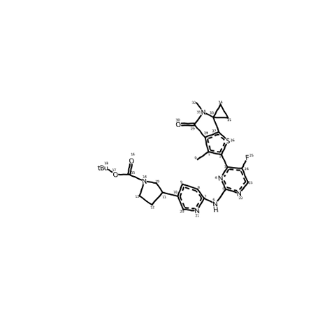 Cc1c(-c2nc(Nc3ccc(C4CCN(C(=O)OC(C)(C)C)C4)cn3)ncc2F)sc2c1C(=O)N(C)C21CC1